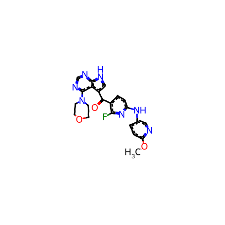 COc1ccc(Nc2ccc(C(=O)c3c[nH]c4ncnc(N5CCOCC5)c34)c(F)n2)cn1